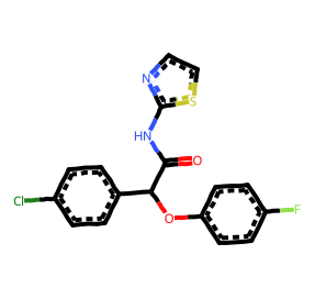 O=C(Nc1nccs1)C(Oc1ccc(F)cc1)c1ccc(Cl)cc1